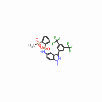 CS(=O)(=O)c1ccccc1S(=O)(=O)Nc1ccc2[nH]nc(-c3cc(C(F)(F)F)cc(C(F)(F)F)c3)c2c1